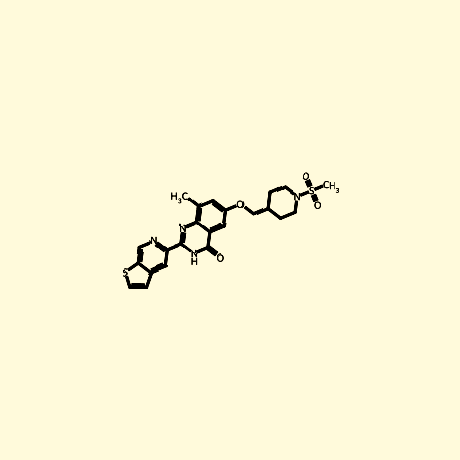 Cc1cc(OCC2CCN(S(C)(=O)=O)CC2)cc2c(=O)[nH]c(-c3cc4ccsc4cn3)nc12